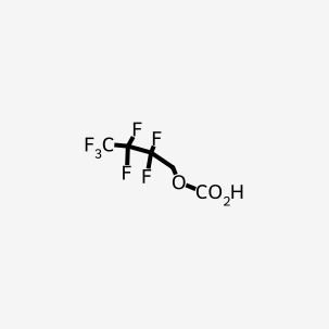 O=C(O)OCC(F)(F)C(F)(F)C(F)(F)F